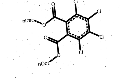 CCCCCCCCCCOC(=O)c1c(Cl)c(Cl)c(Cl)c(Cl)c1C(=O)OCCCCCCCC